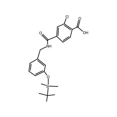 CC(C)(C)[Si](C)(C)Oc1cccc(CNC(=O)c2ccc(C(=O)O)c(Cl)c2)c1